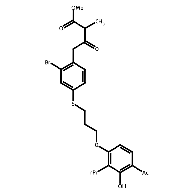 CCCc1c(OCCCSc2ccc(CC(=O)C(C)C(=O)OC)c(Br)c2)ccc(C(C)=O)c1O